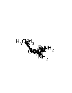 CC(C)=CC(=O)CCCCC(=O)N1CCN(c2nc(N)nc(-c3cnc(N)nc3C(F)F)n2)CC1